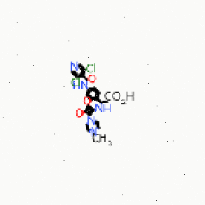 CN1CCN(c2c(NC(CC(=O)O)c3ccc(NC(=O)c4c(Cl)cncc4Cl)cc3)c(=O)c2=O)CC1